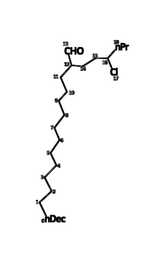 CCCCCCCCCCCCCCCCCCCCCC(C=O)CCC(Cl)CCC